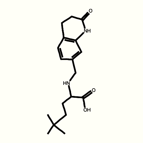 CC(C)(C)CCC(NCc1ccc2c(c1)NC(=O)CC2)C(=O)O